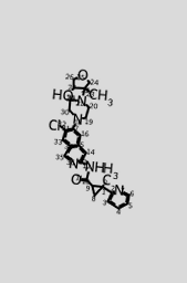 CC1(c2ccccn2)CC1C(=O)Nc1cc2cc(N3CCN(C4(C)COCC4O)CC3)c(Cl)cc2cn1